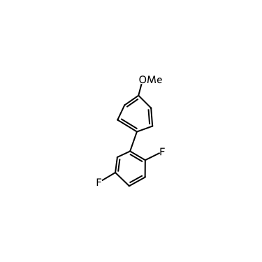 COc1ccc(-c2cc(F)ccc2F)cc1